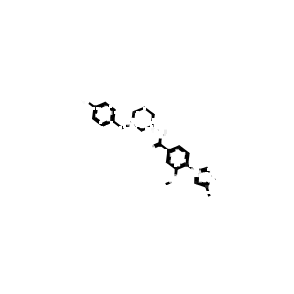 COc1cc(C(=O)N[C@H]2CCCN(Cc3ccc(Br)cc3)C2)ccc1-n1cnc(C)c1